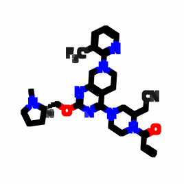 C=CC(=O)N1CCN(c2nc(OC[C@@H]3CCCN3C)nc3c2CCN(c2ncccc2C(F)(F)F)C3)CC1CC#N